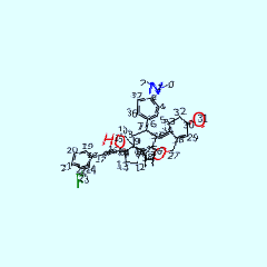 CN(C)c1ccc(C2CC3(C)[C@@H](CC[C@@]3(O)C#Cc3cccc(F)c3)C3OCC4=CC(=O)CCC4=C23)cc1